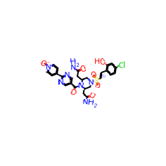 NC(=O)CC1CN(S(=O)(=O)/C=C/c2ccc(Cl)cc2O)CC(CC(N)=O)N1C(=O)c1cnc(-c2cc[n+]([O-])cc2)nc1